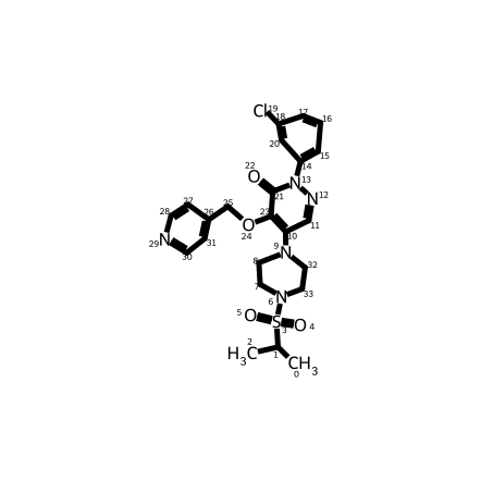 CC(C)S(=O)(=O)N1CCN(c2cnn(-c3cccc(Cl)c3)c(=O)c2OCc2ccncc2)CC1